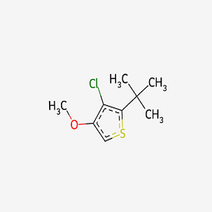 COc1csc(C(C)(C)C)c1Cl